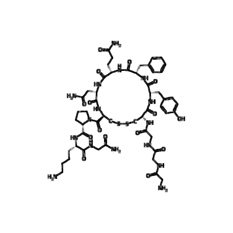 NCCCC[C@H](NC(=O)[C@@H]1CCCN1C(=O)[C@@H]1CSSC[C@@H](NC(=O)CNC(=O)CNC(=O)CN)C(=O)N[C@@H](Cc2ccc(O)cc2)C(=O)N[C@@H](Cc2ccccc2)C(=O)N[C@@H](CCC(N)=O)C(=O)N[C@@H](CC(N)=O)C(=O)N1)C(=O)NCC(N)=O